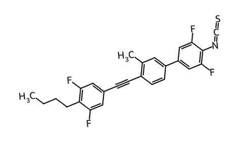 CCCCc1c(F)cc(C#Cc2ccc(-c3cc(F)c(N=C=S)c(F)c3)cc2C)cc1F